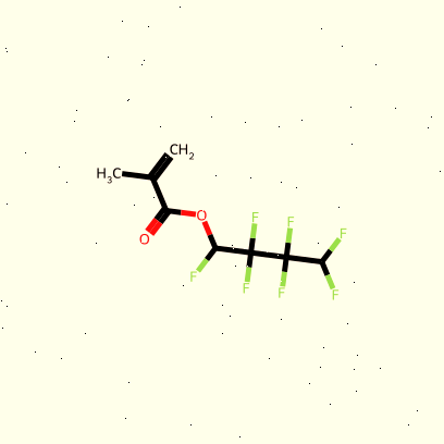 C=C(C)C(=O)OC(F)C(F)(F)C(F)(F)C(F)F